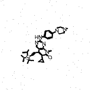 CC(C)[Si](C#Cc1c(C2CC2)c(=O)n(C)c2nc(Nc3ccc(N4CCN(C)CC4)cc3)ncc12)(C(C)C)C(C)C